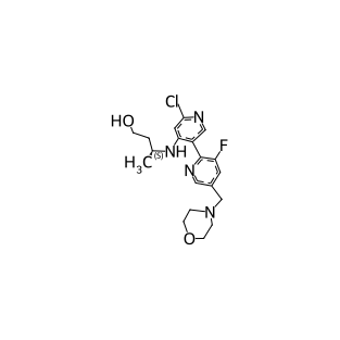 C[C@@H](CCO)Nc1cc(Cl)ncc1-c1ncc(CN2CCOCC2)cc1F